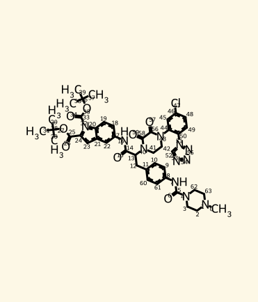 CN1CCN(C(=O)Nc2ccc(CC(C(=O)Nc3ccc4c(c3)cc(C(=O)OC(C)(C)C)n4C(=O)OC(C)(C)C)N3CCN(c4cc(Cl)ccc4-n4cnnn4)C(=O)C3=O)cc2)CC1